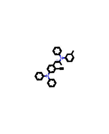 C#Cc1cc(N(c2ccccc2)c2ccccc2)ccc1/C=C(\C)N(C1=CC=CC(C)C1)c1ccccc1